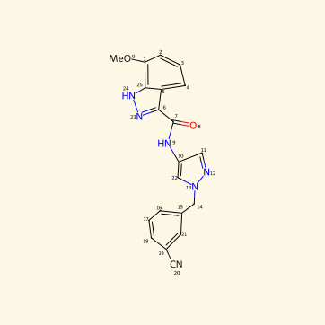 COc1cccc2c(C(=O)Nc3cnn(Cc4cccc(C#N)c4)c3)n[nH]c12